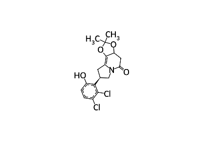 CC1(C)OC2=C3C[C@H](c4c(O)ccc(Cl)c4Cl)CN3C(=O)CC2O1